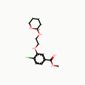 COC(=O)c1ccc(F)c(OCCOC2CCCCO2)c1